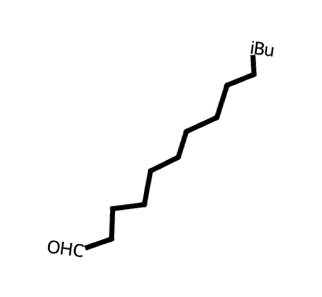 CCC(C)CCCCCCCCCC=O